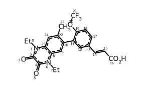 CCn1c(=O)c(=O)n(CC)c2cc(-c3cc(/C=C/C(=O)O)ccc3OC(F)(F)F)c(C)cc21